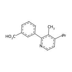 Cc1c(C(C)C)ccnc1-c1cccc(C(=O)O)c1